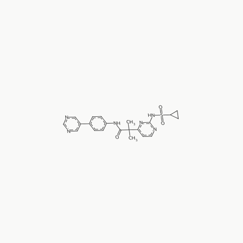 CC(C)(C(=O)Nc1ccc(-c2cncnc2)cc1)c1ccnc(NS(=O)(=O)C2CC2)n1